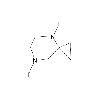 IN1CCN(I)C2(CC2)C1